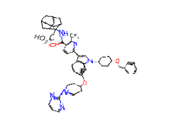 O=C(NC1(C(=O)O)C2CC3CC(C2)CC1C3)c1ccc(-c2cn([C@H]3CC[C@@H](OCc4ccccc4)CC3)c3cc(OC4CCN(c5ncccn5)CC4)ccc23)nc1C(F)(F)F